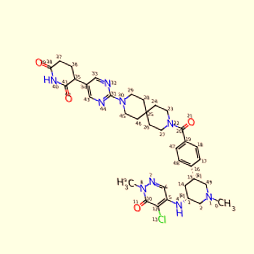 CN1C[C@H](Nc2cnn(C)c(=O)c2Cl)C[C@H](c2ccc(C(=O)N3CCC4(CC3)CCN(c3ncc(C5CCC(=O)NC5=O)cn3)CC4)cc2)C1